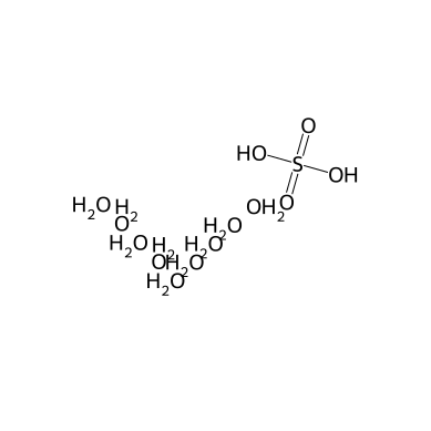 O.O.O.O.O.O.O.O.O.O=S(=O)(O)O